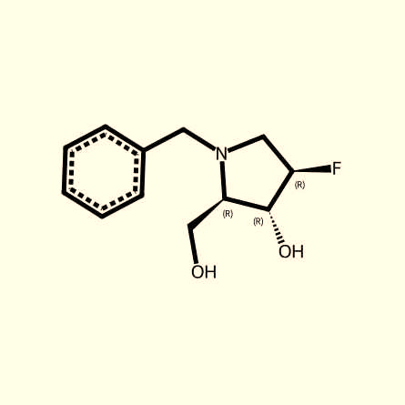 OC[C@@H]1[C@@H](O)[C@H](F)CN1Cc1ccccc1